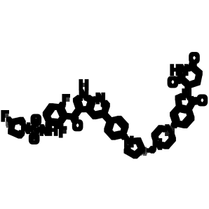 O=C1CCC(N2Cc3cc(N4CCN(C[C@@H]5CCN(c6ccc(-c7cnc8[nH]cc(C(=O)c9c(F)ccc(NS(=O)(=O)N%10CC[C@@H](F)C%10)c9F)c8c7)cc6)C5)CC4)ccc3C2=O)C(=O)N1